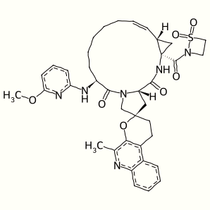 COc1cccc(N[C@H]2CCCCC/C=C\[C@@H]3C[C@@]3(C(=O)N3CCS3(=O)=O)NC(=O)[C@@H]3C[C@]4(CCc5c(c(C)nc6ccccc56)O4)CN3C2=O)n1